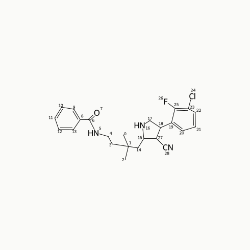 CC(C)(CCNC(=O)c1ccccc1)CC1NCC(c2cccc(Cl)c2F)C1C#N